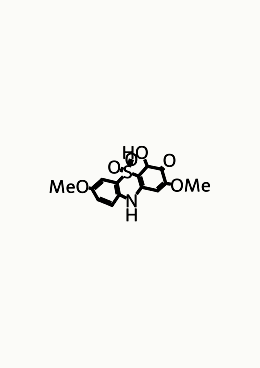 COC1=CC2=C(C(O)C1=O)S(=O)(=O)c1cc(OC)ccc1N2